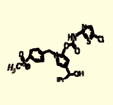 CC(C)C(O)c1cc(OC(=O)Nc2ncc(Cl)s2)n(Cc2ccc(S(C)(=O)=O)cc2)c1